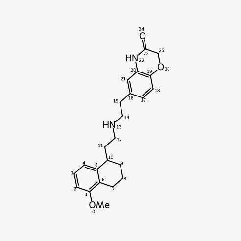 COc1cccc2c1CCCC2CCNCCc1ccc2c(c1)NC(=O)CO2